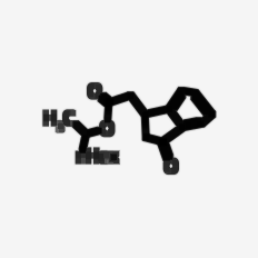 CCCCCCC(C)OC(=O)CC1CC(=O)c2ccccc21